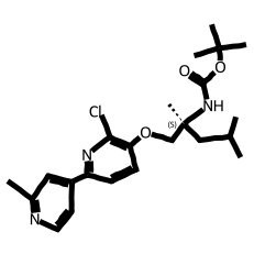 Cc1cc(-c2ccc(OC[C@](C)(CC(C)C)NC(=O)OC(C)(C)C)c(Cl)n2)ccn1